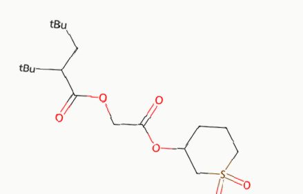 CC(C)(C)CC(C(=O)OCC(=O)OC1CCCS(=O)(=O)C1)C(C)(C)C